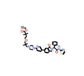 CC(C)(COCCC(C)(C)C(=O)OC(C)(C)C)CN1CCN(c2ccc(-c3ccc4c(c3)C(=O)N(C(C(=O)Nc3nccs3)c3ccccc3)C4)cn2)CC1